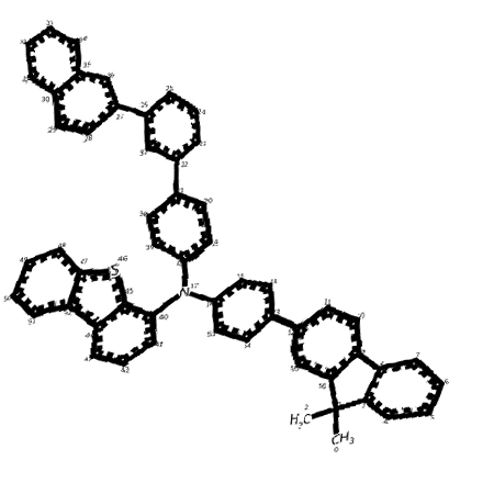 CC1(C)c2ccccc2-c2ccc(-c3ccc(N(c4ccc(-c5cccc(-c6ccc7ccccc7c6)c5)cc4)c4cccc5c4sc4ccccc45)cc3)cc21